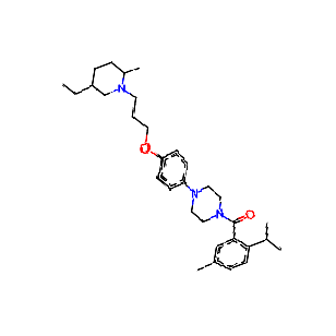 CCC1CCC(C)N(CCCOc2ccc(N3CCN(C(=O)c4cc(C)ccc4C(C)C)CC3)cc2)C1